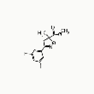 COC(=O)C1(C)CC(c2cc(F)cc(F)c2)=NO1